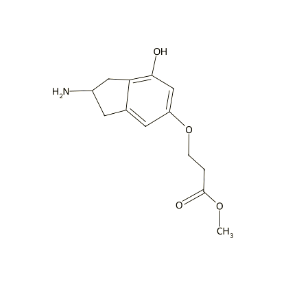 COC(=O)CCOc1cc(O)c2c(c1)CC(N)C2